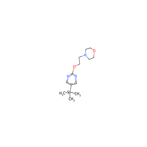 [CH3][Sn]([CH3])([CH3])[c]1cnc(OCCN2CCOCC2)nc1